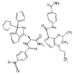 C=CCOc1cccc(C(=O)Nc2ccc(C(=O)O)cc2)c1OC(C)C.NC(=O)[C@H](CC(=O)NC(c1ccccc1)(c1ccccc1)c1ccccc1)NC(=O)c1ccc([N+](=O)[O-])cc1